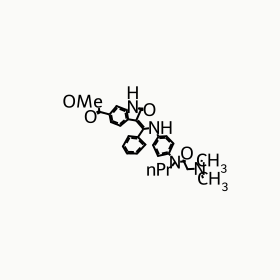 CCCN(C(=O)CN(C)C)c1ccc(N/C(=C2\C(=O)Nc3cc(C(=O)OC)ccc32)c2ccccc2)cc1